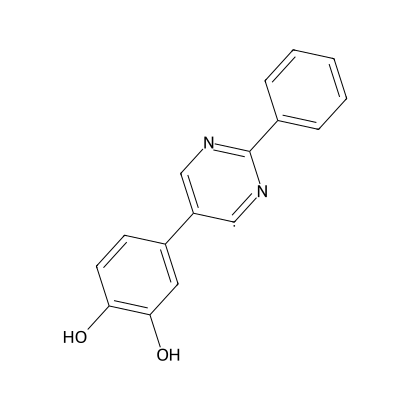 Oc1ccc(-c2[c]nc(-c3ccccc3)nc2)cc1O